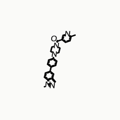 Cc1ccc(C(=O)N2CCN(c3ccc(-c4ccc5c(cnn5C)c4)cc3)CC2)cn1